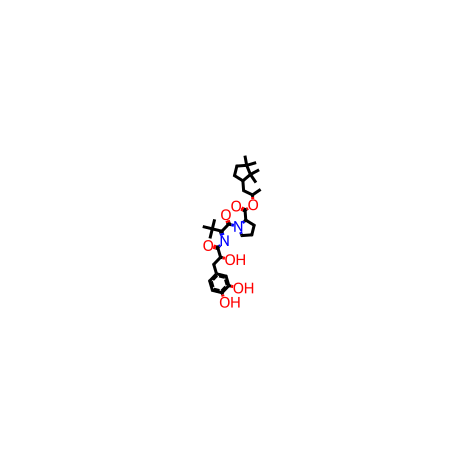 CC(CC1CCC(C)(C)C1(C)C)OC(=O)C1CCCN1C(=O)/C(=N/C(=O)C(O)Cc1ccc(O)c(O)c1)C(C)(C)C